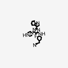 N#CCC1CCC(Nc2nc(-c3cnn4ccccc34)nc(N3CCNCC3)c2F)CC1